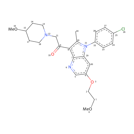 COCCOc1cnc2c(C(=O)CN3CCC(OC)CC3)c(C)n(-c3ccc(Cl)cc3)c2c1